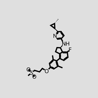 Cc1cc(OCCCS(C)(=O)=O)cc(C)c1-c1ccc(F)c2c1CC[C@H]2Nc1ccc([C@H]2C[C@@H]2C)nc1